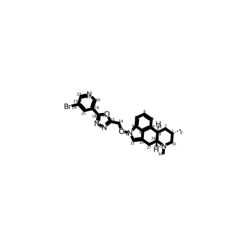 C[C@H]1C[C@@H]2c3cccc4c3c(cn4OCc3nnc(-c4cncc(Br)c4)o3)C[C@H]2N(C)C1